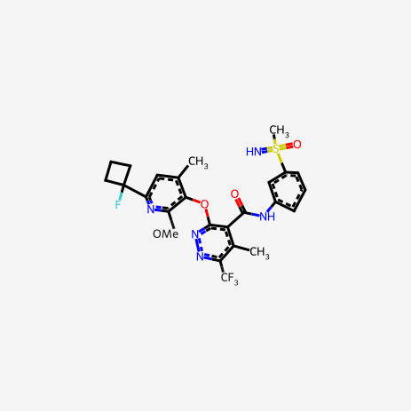 COc1nc(C2(F)CCC2)cc(C)c1Oc1nnc(C(F)(F)F)c(C)c1C(=O)Nc1cccc(S(C)(=N)=O)c1